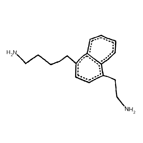 NCCCCc1ccc(CCN)c2ccccc12